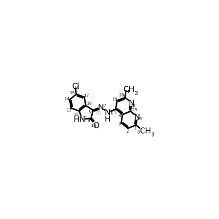 Cc1ccc2c(N/N=C3\C(=O)Nc4ccc(Cl)cc43)cc(C)nc2n1